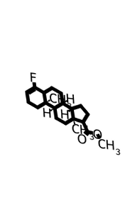 COC(=O)C1CC[C@H]2[C@@H]3CCC4C(F)=CCC[C@]4(C)[C@@H]3CC[C@]12C